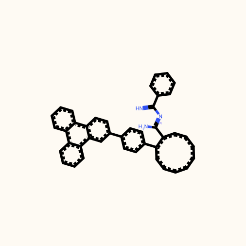 N=C(/N=C(\N)c1ccccccccc1-c1ccc(-c2ccc3c4ccccc4c4ccccc4c3c2)cc1)c1ccccc1